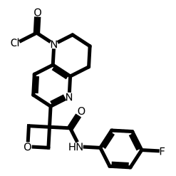 O=C(Cl)N1CCCc2nc(C3(C(=O)Nc4ccc(F)cc4)COC3)ccc21